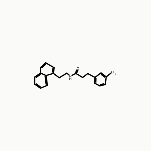 O=C(CCc1cccc(C(F)(F)F)c1)NCCc1cccc2ccccc12